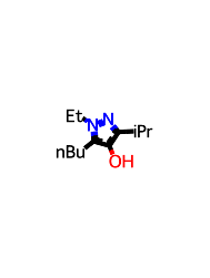 CCCCc1c(O)c(C(C)C)nn1CC